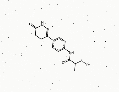 CCSC(C)C(=O)Nc1ccc(C2=NNC(=O)CC2)cc1